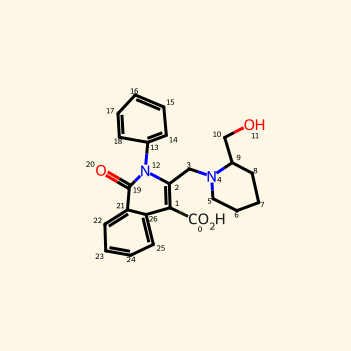 O=C(O)c1c(CN2CCCCC2CO)n(-c2ccccc2)c(=O)c2ccccc12